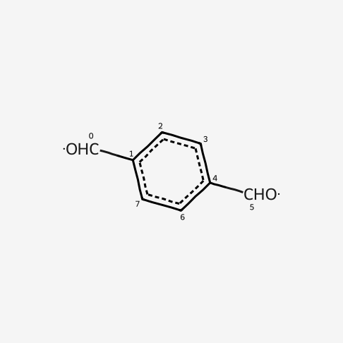 O=[C]c1ccc([C]=O)cc1